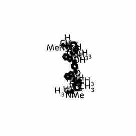 CN[C@@H](C)C(=S)N[C@H]1CCS[C@H]2CC(C)(C)[C@@H](C(=O)N[C@H]3c4ccccc4C[C@H]3C(O)N3CCN(C(=O)[C@@H]4Cc5ccccc5[C@@H]4NC(=O)[C@H]4N5C(=O)[C@@H](NC(=S)[C@H](C)NC)CCS[C@@]5(C)CC4(C)C)CC3)N2C1=O